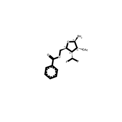 B[C@@H]1O[C@H](COC(=O)c2ccccc2)[C@@H](C(F)F)[C@H]1OC(C)=O